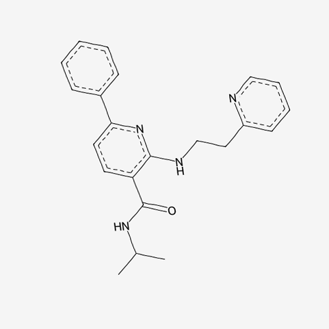 CC(C)NC(=O)c1ccc(-c2ccccc2)nc1NCCc1ccccn1